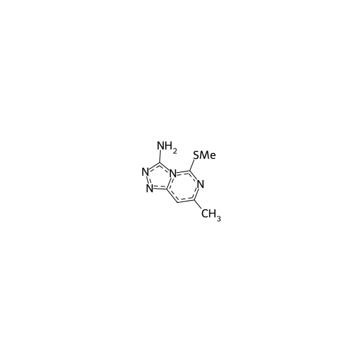 CSc1nc(C)cc2nnc(N)n12